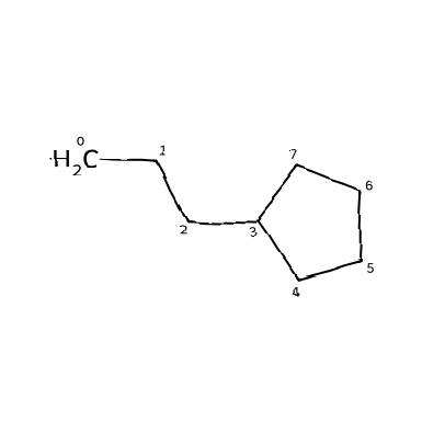 [CH2]CCC1CCCC1